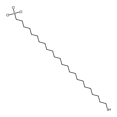 SCCCCCCCCCCCCCCCCCCCCCCCC[Si](Cl)(Cl)Cl